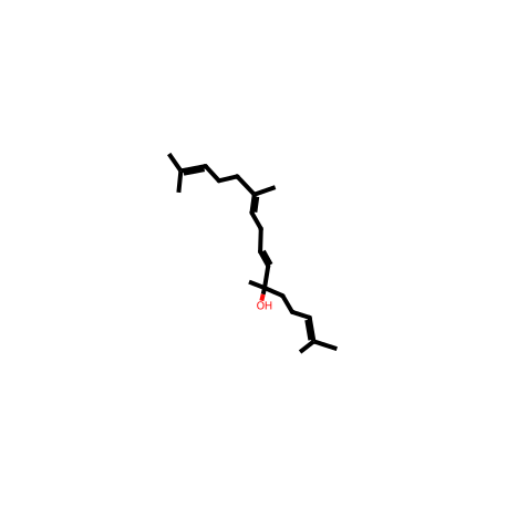 CC(C)=CCCC(C)=CCC=CC(C)(O)CCC=C(C)C